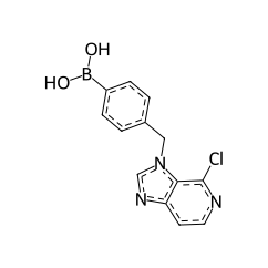 OB(O)c1ccc(Cn2cnc3ccnc(Cl)c32)cc1